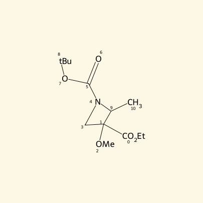 CCOC(=O)C1(OC)CN(C(=O)OC(C)(C)C)C1C